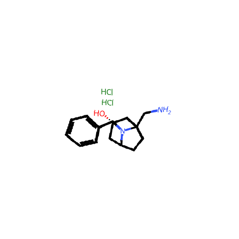 Cl.Cl.NCC12CCC(C[C@H](O)C1)N2Cc1ccccc1